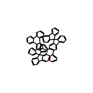 c1ccc(-c2cc3c(cc2N(c2ccc4c5ccccc5c5ccccc5c4c2)c2cccc4c2C2(c5ccccc5-c5ccccc52)c2ccccc2-4)C2(c4ccccc4-c4ccccc42)c2ccccc2-3)cc1